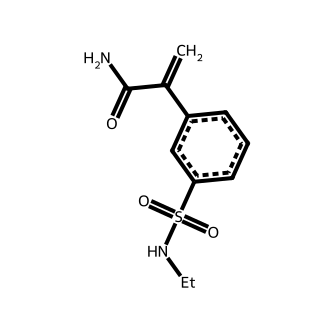 C=C(C(N)=O)c1cccc(S(=O)(=O)NCC)c1